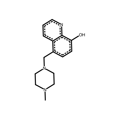 CN1CCN(Cc2ccc(O)c3ncccc23)CC1